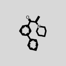 C=C(C(=O)c1cccc(-c2ccccc2)c1)N1CCCCC1